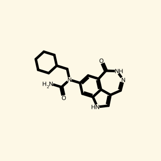 NC(=O)N(CC1CCCCC1)c1cc2c3c(c[nH]c3c1)C=NNC2=O